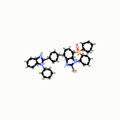 CCc1nc2c(-c3ccc(-c4nc5ccccc5n4-c4ccccc4)cc3)ccc3c2n1-c1ccccc1P3(=O)c1ccccc1